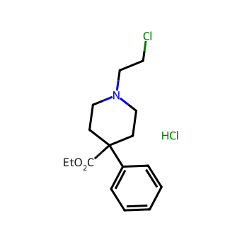 CCOC(=O)C1(c2ccccc2)CCN(CCCl)CC1.Cl